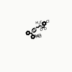 Cc1cc(Cl)cc2c1N(CCCN1CCN(C(c3ccccc3)c3ccccc3)CC1)C(=O)C2=O.Cl.Cl